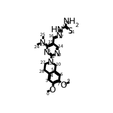 COc1cc2c(cc1OC)CN(c1ncc(C=NNC(N)=S)c(N(C)C)n1)CC2